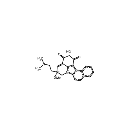 CO[N+]1(CCN(C)C)C=C2C(=O)CC(=O)c3c2n(c2ccc4ccccc4c32)C1.Cl